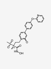 C[C@@](CCn1ccc(-c2ccc(Oc3ccccn3)cc2)cc1=O)(C(=O)NO)S(C)(=O)=O